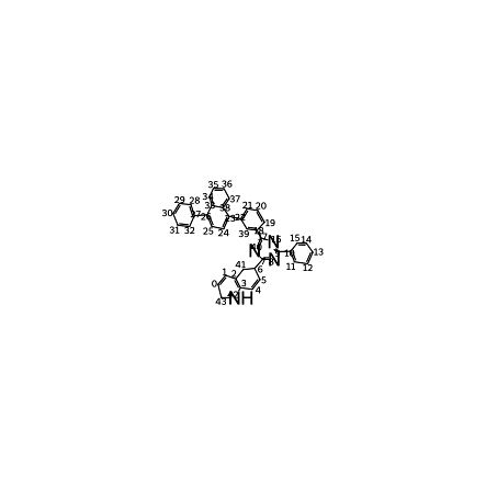 C1=CC2=C(C=CC(c3nc(-c4ccccc4)nc(-c4cccc(-c5ccc(-c6ccccc6)c6ccccc56)c4)n3)C2)NC1